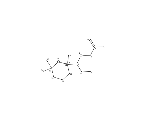 C=C(C)COC(CC)[Si]1(C)CCCC(C)(C)O1